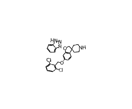 Clc1cccc(Cl)c1COc1ccc2c(c1)OCC21CCNCC1.c1ccc2[nH]nnc2c1